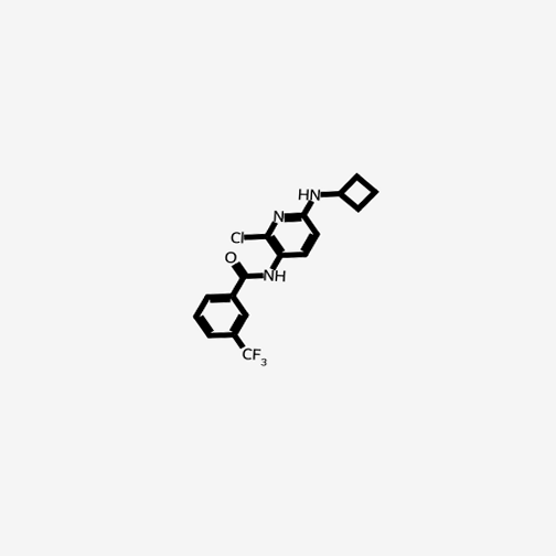 O=C(Nc1ccc(NC2CCC2)nc1Cl)c1cccc(C(F)(F)F)c1